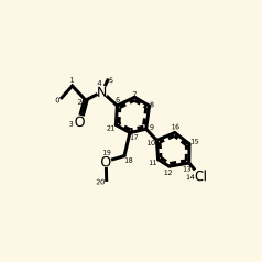 CCC(=O)N(C)c1ccc(-c2ccc(Cl)cc2)c(COC)c1